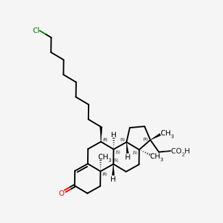 C[C@]1(CC(=O)O)CC[C@H]2[C@@H]3[C@H](CCCCCCCCCCl)CC4=CC(=O)CC[C@]4(C)[C@H]3CC[C@@]21C